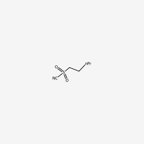 CCCCCS(=O)(=O)C#N